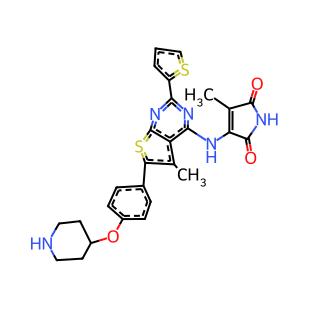 CC1=C(Nc2nc(-c3cccs3)nc3sc(-c4ccc(OC5CCNCC5)cc4)c(C)c23)C(=O)NC1=O